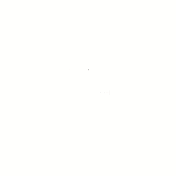 O=C1OCc2ccc(O)c(O)c21